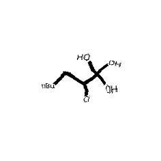 CCCCCC(Cl)C(O)(O)O